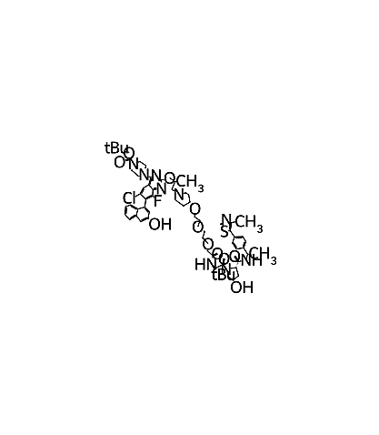 Cc1ncsc1-c1ccc([C@H](C)NC(=O)[C@@H]2C[C@@H](O)CN2C(=O)[C@@H](NC(=O)COCCOCCOC2CCN(C[C@@H](C)Oc3nc(N4CCN(C(=O)OC(C)(C)C)CC4)c4cc(Cl)c(-c5cc(O)cc6ccccc56)c(F)c4n3)CC2)C(C)(C)C)cc1